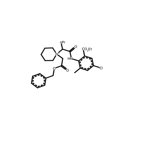 CCCC(C(=O)Nc1c(C)cc(Cl)cc1C(=O)OCC)[N+]1(CC(=O)OCc2ccccc2)CCCCC1